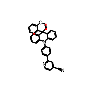 N#Cc1ccnc(-c2ccc(N3c4ccccc4C4(c5ccccc5Oc5ccccc54)c4ccccc43)cc2)c1